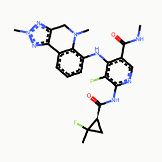 CNC(=O)c1cnc(NC(=O)[C@H]2CC2(C)F)c(F)c1Nc1cccc2c1N(C)Cc1nn(C)nc1-2